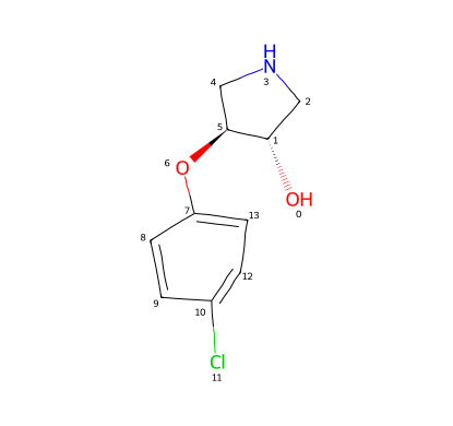 O[C@H]1CNC[C@@H]1Oc1ccc(Cl)cc1